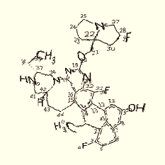 CCc1c(F)ccc2cc(O)cc(-c3cc4c5c(nc(OC[C@@]67CCCN6C[C@H](F)C7)nc5c3F)N3C[C@@H](CC)NC[C@H]3CC4)c12